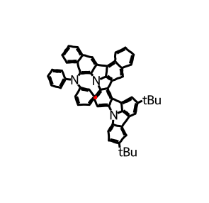 CC(C)(C)c1ccc2c(c1)c1cc(C(C)(C)C)cc3c4c5c6cc7ccccc7c7c8cc9ccccc9c(N(c9ccccc9)c9ccccc9)c8n(c5ccc4n2c13)c67